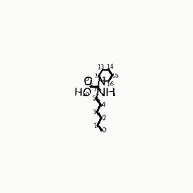 CCCCCCNC(C(=O)O)N1CCCCC1